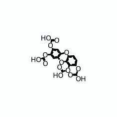 O=C(O)Oc1cc2c(cc1OC(=O)O)Oc1c(ccc(OC(=O)O)c1OC(=O)O)O2